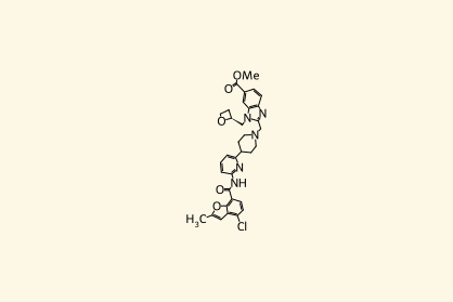 COC(=O)c1ccc2nc(CN3CCC(c4cccc(NC(=O)c5ccc(Cl)c6cc(C)oc56)n4)CC3)n(C[C@@H]3CCO3)c2c1